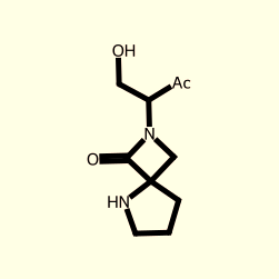 CC(=O)C(CO)N1CC2(CCCN2)C1=O